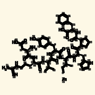 CC[C@H](C)[C@H](NC(=O)[C@H](Cc1ccc(O)cc1)NC(=O)[C@@H](NC(=O)[C@H](CCCNC(=N)N)NC(=O)[C@@H](N)CC(=O)O)C(C)C)C(=O)N[C@@H](Cc1cnc[nH]1)C(=O)N1CCC[C@H]1C(=O)N[C@@H](Cc1ccccc1)C(=O)O.[Zn]